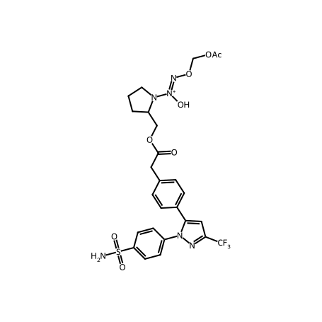 CC(=O)OCO/N=[N+](\O)N1CCCC1COC(=O)Cc1ccc(-c2cc(C(F)(F)F)nn2-c2ccc(S(N)(=O)=O)cc2)cc1